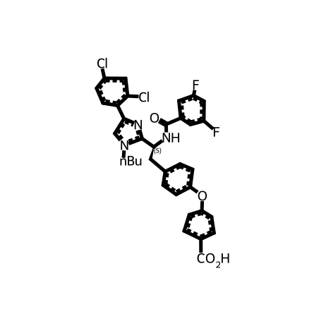 CCCCn1cc(-c2ccc(Cl)cc2Cl)nc1[C@H](Cc1ccc(Oc2ccc(C(=O)O)cc2)cc1)NC(=O)c1cc(F)cc(F)c1